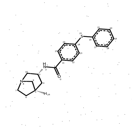 O=C(N[C@@H]1C[C@H]2CCN(C2)C1)c1ccc(Sc2ccccc2)cc1